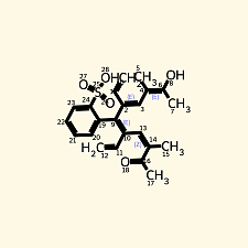 C=CC(=C\C(C)=C(/C)O)/C(=C(C=C)\C=C(\C)C(C)=O)c1ccccc1S(=O)(=O)O